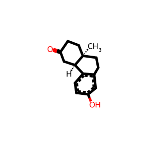 C[C@@]12CCC(=O)C[C@@H]1c1ccc(O)cc1CC2